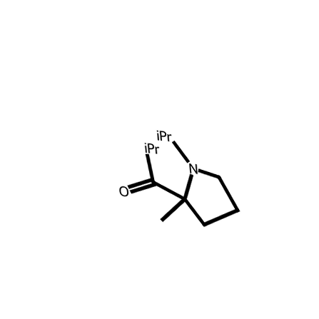 CC(C)C(=O)C1(C)CCCN1C(C)C